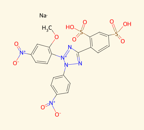 COc1cc([N+](=O)[O-])ccc1-[n+]1nc(-c2ccc(S(=O)(=O)O)cc2S(=O)(=O)O)nn1-c1ccc([N+](=O)[O-])cc1.[Na]